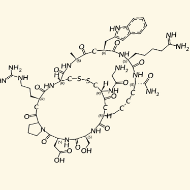 C[C@@H]1NC(=O)[C@@H]2CSSC[C@H](NC(=O)CN)C(=O)C[C@@H](CCCC[C@@H](C(N)=O)NC(=O)[C@H](CCCCC(=N)N)NC(=O)[C@H](Cc3cc4ccccc4[nH]3)CC1=O)C(=O)N[C@@H](CO)C(=O)N[C@@H](CC(=O)O)C(=O)N1CCCC1C(=O)C[C@@H](CCCNC(=N)N)C(=O)N2